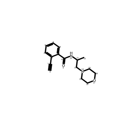 C#Cc1ccccc1C(=O)NC(C)CN1CCOCC1